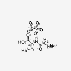 CC(=O)N[C@@H](CS)C(=O)O.O=S([O-])S(=O)(=O)[O-].[Na+].[Na+]